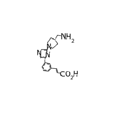 NCC1CCN(c2cncc(-c3cccc(C=CC(=O)O)c3)n2)CC1